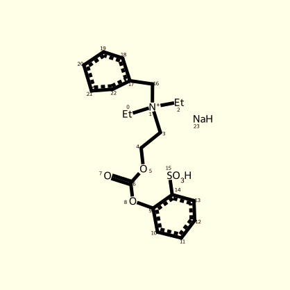 CC[N+](CC)(CCOC(=O)Oc1ccccc1S(=O)(=O)O)Cc1ccccc1.[NaH]